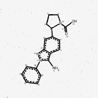 Nc1c2ccc(C3CCCN3C(=O)O)cc2nn1-c1ccccc1